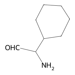 NC(C=O)C1CCCCC1